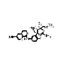 COC[C@@]1(C)SC(N)=N[C@](CF)(c2cc(Nc3nccc4cc(C#N)cnc34)ccc2F)[C@@H]1C